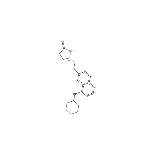 O=C1CC[C@@H](COc2cc3c(NC4CCCCC4)ncnc3cn2)N1